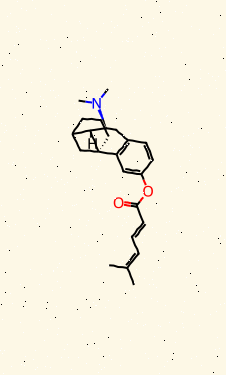 CC(C)=C/C=C/C(=O)Oc1ccc2c(c1)[C@@]13CCCC(C1)[C@@H]3[C@@H](N(C)C)C2